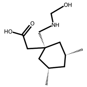 C[C@@H]1C[C@H](C)C[C@@](CNCO)(CC(=O)O)C1